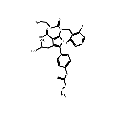 CCOC(=O)N(Cc1c(F)cncc1F)c1sc(-c2ccc(NC(=O)NOC)cc2)c(CN(C)C)c1C(=O)O